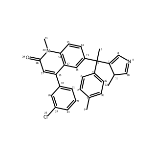 Cc1ccc(C(C)(C2=CN=CC2C)c2ccc3c(c2)c(-c2cccc(Cl)c2)cc(=O)n3C)cc1